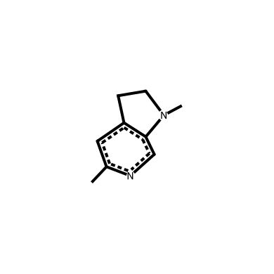 Cc1cc2c(cn1)N(C)CC2